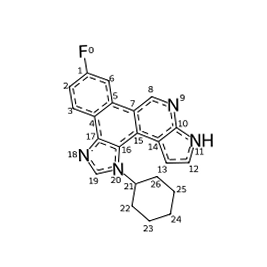 Fc1ccc2c(c1)c1cnc3[nH]ccc3c1c1c2ncn1C1CCCCC1